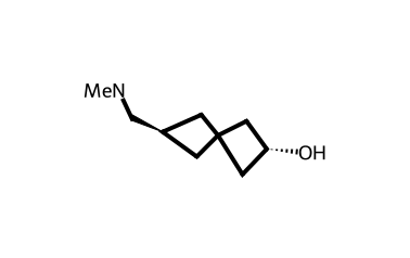 CNC[C@H]1CC2(C[C@@H](O)C2)C1